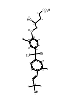 CCC(CC)(c1ccc(C=CC(C)(C)O)c(C)c1)c1ccc(OCC(O)CCC(=O)O)c(C)c1